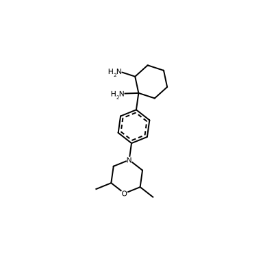 CC1CN(c2ccc(C3(N)CCCCC3N)cc2)CC(C)O1